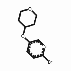 Brc1ccc(OC2CCOCC2)cn1